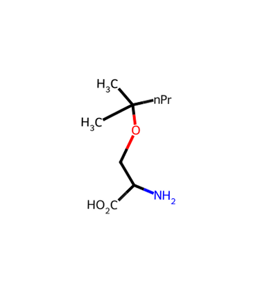 CCCC(C)(C)OCC(N)C(=O)O